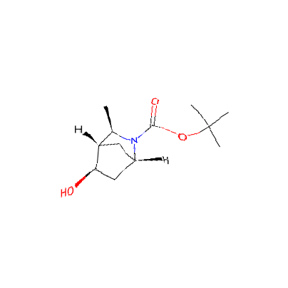 C[C@@H]1[C@@H]2C[C@@H](C[C@H]2O)N1C(=O)OC(C)(C)C